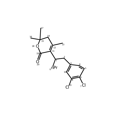 CCCC(Cc1ccc(Cl)c(Cl)c1)C1=C(C)CC(C)(C)OC1=O